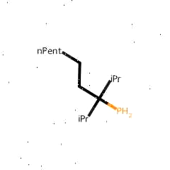 CCCCCCCC(P)(C(C)C)C(C)C